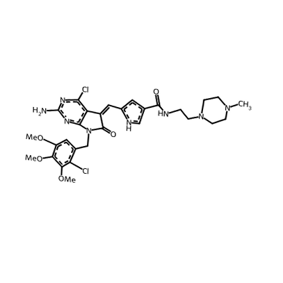 COc1cc(CN2C(=O)C(=Cc3cc(C(=O)NCCN4CCN(C)CC4)c[nH]3)c3c(Cl)nc(N)nc32)c(Cl)c(OC)c1OC